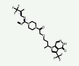 C=N/C(=N\C=C(/C)C(F)(F)F)N1CCN(C(=O)COCCC(C)n2cc(C(F)(F)F)c3c(=O)[nH]ncc32)CC1